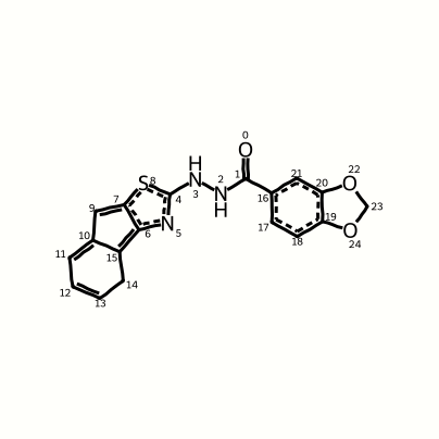 O=C(NNc1nc2c(s1)=CC1=CC=CCC=21)c1ccc2c(c1)OCO2